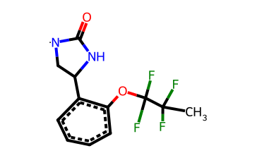 CC(F)(F)C(F)(F)Oc1ccccc1C1C[N]C(=O)N1